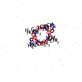 CC(C)C[C@H]1C(=O)O[C@H](Cc2ccc(CN3CCCC3)cc2)C(=O)N(C)[C@@H](CC(C)C)C(=O)O[C@H](C)C(=O)N(C)[C@@H](CC(C)C)C(=O)O[C@H](Cc2ccc(CN3CCCC3)cc2)C(=O)N(C)[C@@H](CC(C)C)C(=O)O[C@H](C)C(=O)N1C